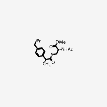 COC(=O)[C@@H](CSC(=O)[C@@H](C)c1ccc(CC(C)C)cc1)NC(C)=O